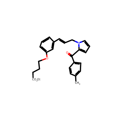 CCOC(=O)CCCOc1cccc(C=CCn2cccc2C(=O)c2ccc(C)cc2)c1